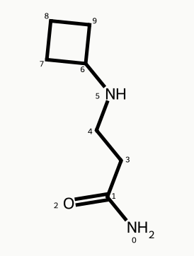 NC(=O)CCNC1CCC1